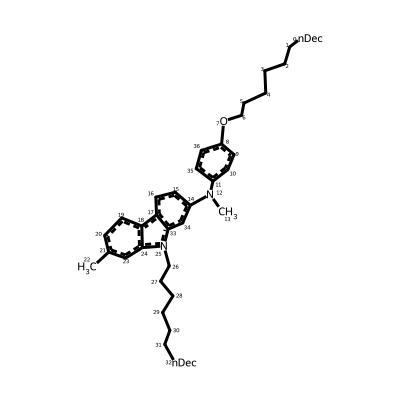 CCCCCCCCCCCCCCCCOc1ccc(N(C)c2ccc3c4ccc(C)cc4n(CCCCCCCCCCCCCCCC)c3c2)cc1